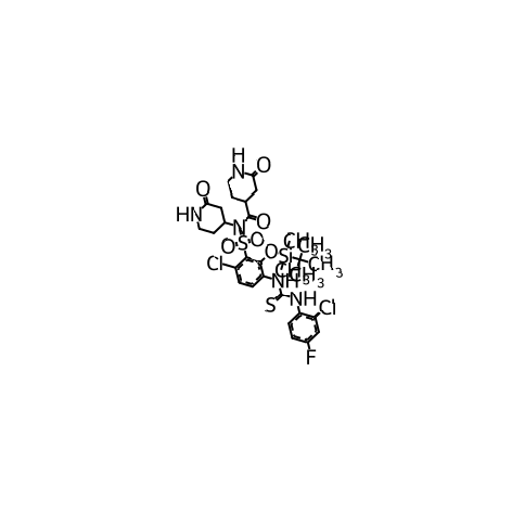 CC(C)(C)[Si](C)(C)Oc1c(NC(=S)Nc2ccc(F)cc2Cl)ccc(Cl)c1S(=O)(=O)N(C(=O)C1CCNC(=O)C1)C1CCNC(=O)C1